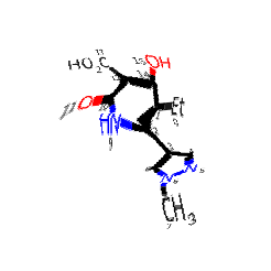 CCc1c(-c2cnn(C)c2)[nH]c(=O)c(C(=O)O)c1O